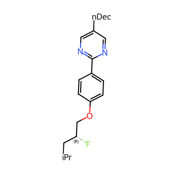 CCCCCCCCCCc1cnc(-c2ccc(OC[C@H](F)CC(C)C)cc2)nc1